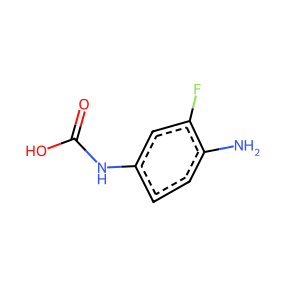 Nc1ccc(NC(=O)O)cc1F